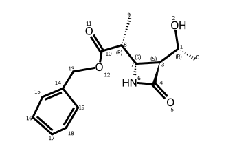 C[C@@H](O)[C@H]1C(=O)N[C@@H]1[C@@H](C)C(=O)OCc1ccccc1